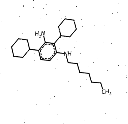 CCCCCCCNc1ccc(C2CCCCC2)c(N)c1C1CCCCC1